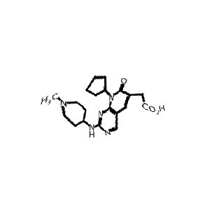 CN1CCC(Nc2ncc3cc(CC(=O)O)c(=O)n(C4CCCC4)c3n2)CC1